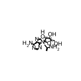 C=C(N)C[C@@]1(n2cnc3c(N)ncnc32)O[C@H](CO)[C@@H](O)[C@H]1O